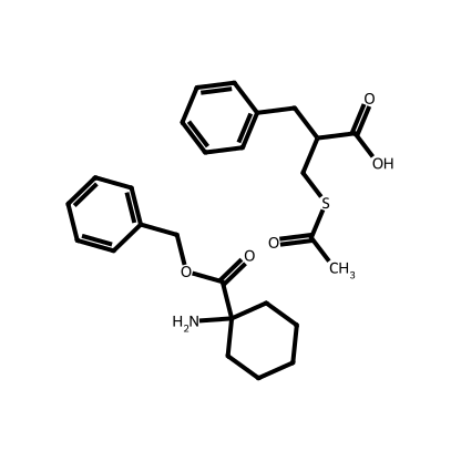 CC(=O)SCC(Cc1ccccc1)C(=O)O.NC1(C(=O)OCc2ccccc2)CCCCC1